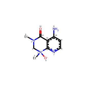 CCN1C[N+]([O-])(CC)c2nccc(N)c2C1=O